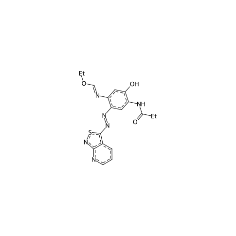 CCO/C=N/c1cc(O)c(NC(=O)CC)cc1/N=N/c1snc2ncccc12